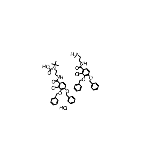 CC(C)(C)N(CCNC(=O)c1ccc(OCc2ccccc2)c(OCc2ccccc2)c1Cl)C(=O)O.Cl.NCCNC(=O)c1ccc(OCc2ccccc2)c(OCc2ccccc2)c1Cl